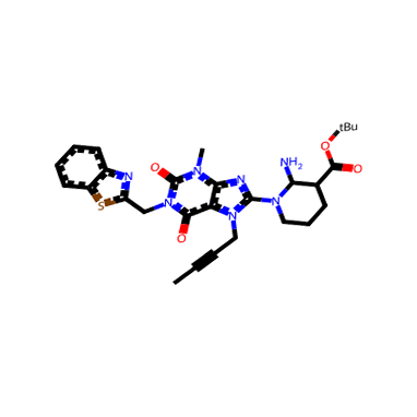 CC#CCn1c(N2CCCC(C(=O)OC(C)(C)C)C2N)nc2c1c(=O)n(Cc1nc3ccccc3s1)c(=O)n2C